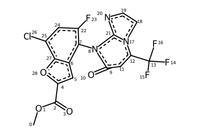 COC(=O)c1cc2c(-n3c(=O)cc(C(F)(F)F)n4ccnc34)c(F)cc(Cl)c2o1